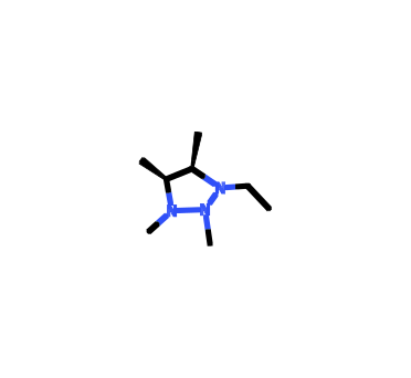 CCN1[C@H](C)[C@H](C)N(C)N1C